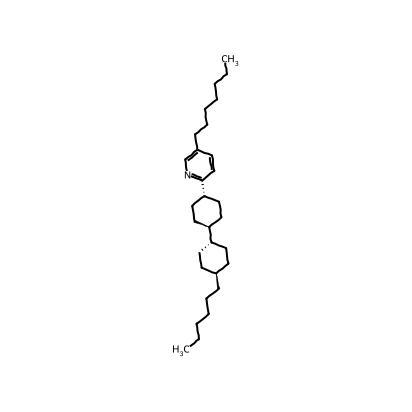 CCCCCCCc1ccc([C@H]2CC[C@H]([C@H]3CC[C@H](CCCCCC)CC3)CC2)nc1